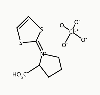 O=C(O)C1CCC[N+]1=c1sccs1.[O-][Cl+3]([O-])([O-])[O-]